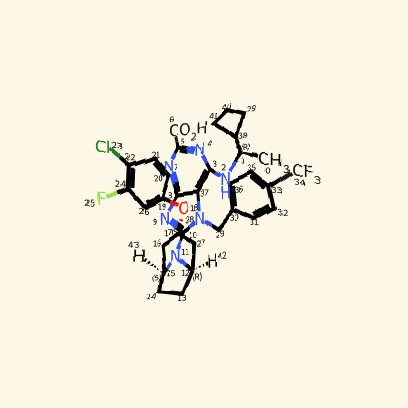 C[C@@H](Nc1nc(C(=O)O)nc2nc(N3[C@@H]4CC[C@H]3C[C@H](Oc3ccc(Cl)c(F)c3)C4)n(Cc3ccc(C(F)(F)F)cc3)c12)C1CCC1